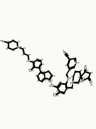 N#Cc1cncc(COc2cc(O[C@H]3CCc4c(-c5cccc(OCCCN6CCC(F)CC6)c5Cl)cccc43)c(Cl)cc2CN2CCCC3(C2)NC(=O)CC3=O)c1